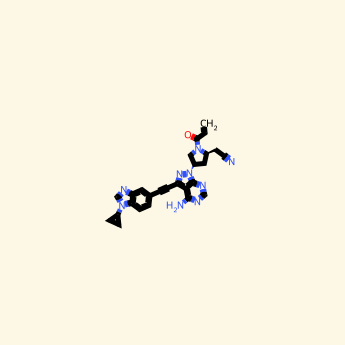 C=CC(=O)N1C[C@@H](n2nc(C#Cc3ccc4c(c3)ncn4C3CC3)c3c(N)ncnc32)C[C@@H]1CC#N